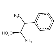 N[C@@H](C(=O)O)C(c1ccccc1)C(F)(F)F